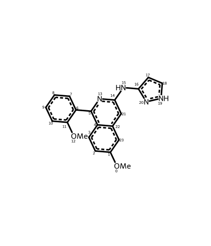 COc1ccc2c(-c3ccccc3OC)nc(Nc3cc[nH]n3)cc2c1